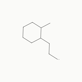 [CH2]CCC1CCCCC1C